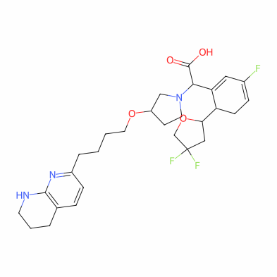 O=C(O)C(C1=CC(F)=CCC1C1CC(F)(F)CO1)N1CCC(OCCCCc2ccc3c(n2)NCCC3)C1